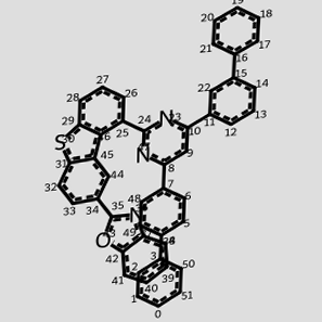 c1ccc(-c2ccc(-c3cc(-c4cccc(-c5ccccc5)c4)nc(-c4cccc5sc6ccc(-c7nc8ccccc8o7)cc6c45)n3)cc2)cc1